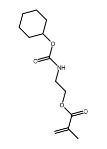 C=C(C)C(=O)OCCNC(=O)OC1CCCCC1